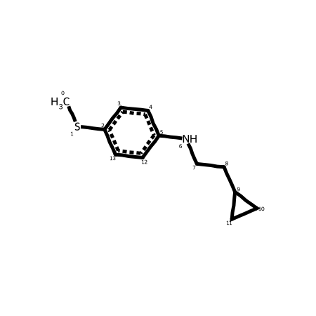 CSc1ccc(NCCC2CC2)cc1